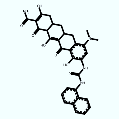 CN(C)c1cc(NC(=S)Nc2cccc3ccccc23)c(O)c2c1CC1CC3CC(O)=C(C(N)=O)C(=O)C3C(O)=C1C2=O